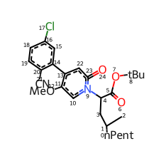 CCCCCC(C)CC(C(=O)OC(C)(C)C)n1cc(OC)c(-c2cc(Cl)ccc2C#N)cc1=O